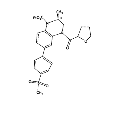 CCOC(=O)N1c2ccc(-c3ccc(S(C)(=O)=O)cc3)cc2N(C(=O)C2CCCO2)C[C@@H]1C